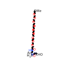 COCCOCCOCCOCCOCCOCCOCCOCCOCCOCCC(=O)NCC(C(C)=O)N(C)C(=O)/C=C\C=O